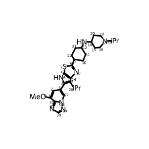 COc1cc(-c2[nH]c3sc(C4CCC(NC5CCN(C(C)C)CC5)CC4)nc3c2C(C)C)cn2ncnc12